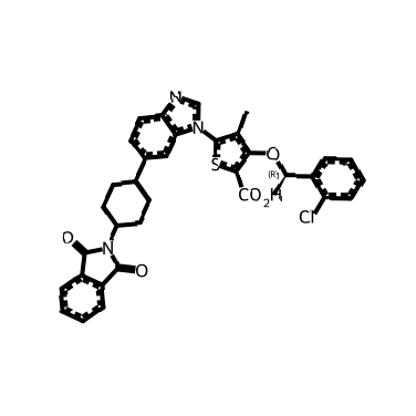 Cc1c(-n2cnc3ccc(C4CCC(N5C(=O)c6ccccc6C5=O)CC4)cc32)sc(C(=O)O)c1O[C@H](C)c1ccccc1Cl